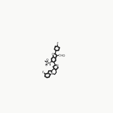 CN(c1cc2oc(-c3ccc(F)cc3)c(C=O)c2cc1-c1cc2c(cn1)CCn1c-2cc2c(F)cccc21)S(C)(=O)=O